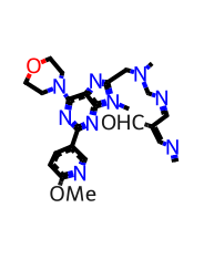 C=N/C=C(C=O)\C=N/CN(C)Cc1nc2c(N3CCOCC3)nc(-c3ccc(OC)nc3)nc2n1C